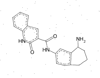 NC1CCCc2ccc(NC(=O)c3cc4ccccc4[nH]c3=O)cc21